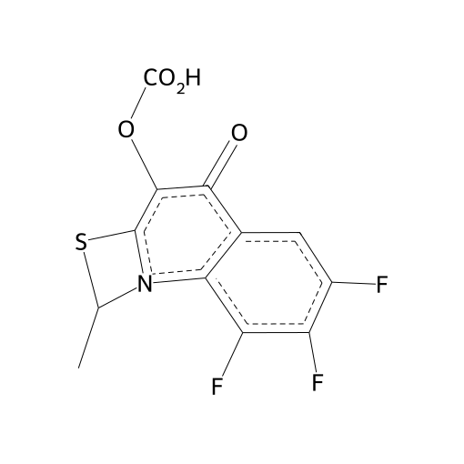 CC1Sc2c(OC(=O)O)c(=O)c3cc(F)c(F)c(F)c3n21